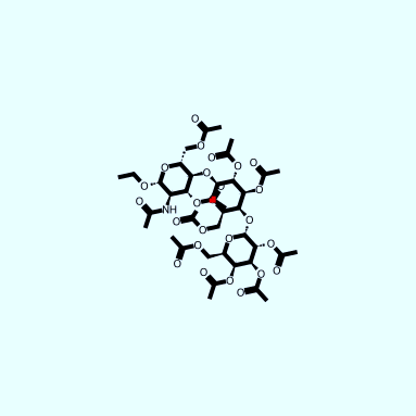 CCO[C@@H]1O[C@H](COC(C)=O)[C@@H](O[C@@H]2O[C@H](COC(C)=O)[C@H](O[C@H]3O[C@H](COC(C)=O)[C@H](OC(C)=O)[C@H](OC(C)=O)[C@H]3OC(C)=O)[C@H](OC(C)=O)[C@H]2OC(C)=O)[C@H](OC(C)=O)[C@H]1NC(C)=O